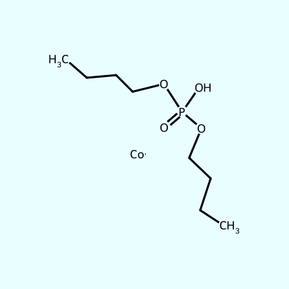 CCCCOP(=O)(O)OCCCC.[Co]